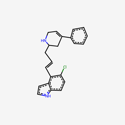 Clc1ccc2[nH]ccc2c1/C=C/CC1CC(c2ccccc2)=CCN1